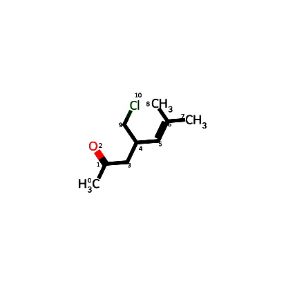 CC(=O)CC(C=C(C)C)CCl